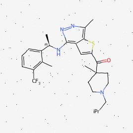 Cc1c([C@@H](C)Nc2nnc(C)c3sc(C(=O)C4(C)CCN(CC(C)C)CC4)cc23)cccc1C(F)(F)F